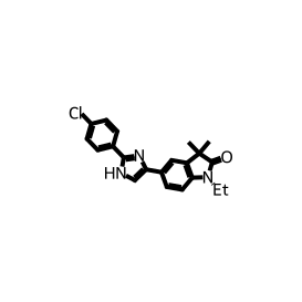 CCN1C(=O)C(C)(C)c2cc(-c3c[nH]c(-c4ccc(Cl)cc4)n3)ccc21